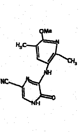 COc1nc(C)c(Nc2nc(C#N)c[nH]c2=O)cc1C